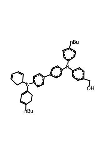 CCCCC1=CC=C(N(c2ccc(-c3ccc(N(c4ccc(CO)cc4)c4ccc(CCCC)cc4)cc3)cc2)C2C=CC=CC2)CC1